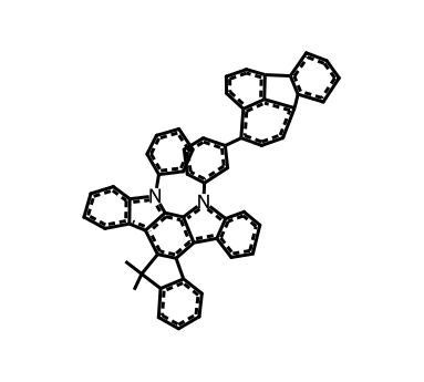 CC1(C)c2ccccc2-c2c1c1c3ccccc3n(-c3ccccc3)c1c1c2c2ccccc2n1-c1cccc(-c2ccc3c4c(cccc24)-c2ccccc2-3)c1